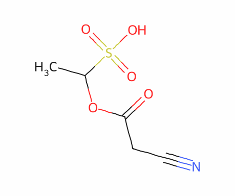 CC(OC(=O)CC#N)S(=O)(=O)O